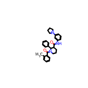 Cc1ccccc1C(=O)N1CCCC(C(=O)Nc2cccc(N3CCCC3)c2)C1c1ccccc1